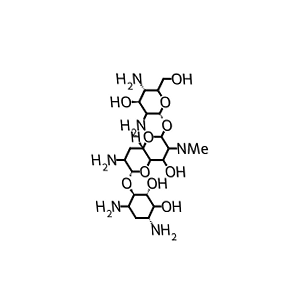 CNC1C(O[C@H]2OC(CO)[C@@H](N)[C@H](O)C2N)O[C@H]2CC(N)[C@@H](O[C@@H]3C(N)C[C@@H](N)C(O)[C@H]3O)OC2C1O